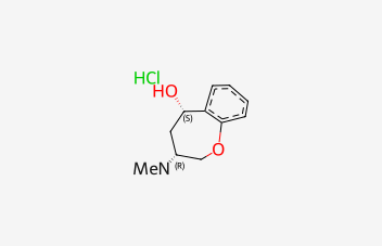 CN[C@H]1COc2ccccc2[C@@H](O)C1.Cl